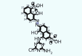 Nc1nc(Cl)nc(Nc2cc(S(=O)(=O)O)cc3ccc(/N=N/c4ccc5cccc(S(=O)(=O)O)c5c4O)c(O)c23)n1